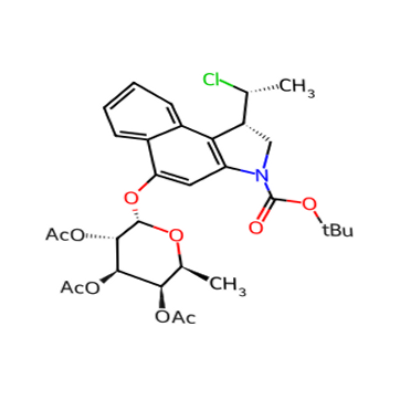 CC(=O)O[C@H]1[C@H](OC(C)=O)[C@H](Oc2cc3c(c4ccccc24)[C@H]([C@@H](C)Cl)CN3C(=O)OC(C)(C)C)O[C@@H](C)[C@H]1OC(C)=O